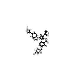 CC(Oc1cc(-n2cnc3c2C=CC(c2cnn(C)c2)C3)sc1C(N)=O)c1cccc(OC2CCN(C)CC2)c1F